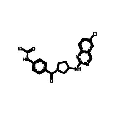 CCC(=O)Nc1ccc(C(=O)N2CCC(Nc3ncc4cc(Cl)ccc4n3)C2)cc1